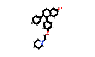 Oc1ccc2c(c1)CCC(c1ccccc1)C2c1ccc(OCCN2CCCCC2)cc1